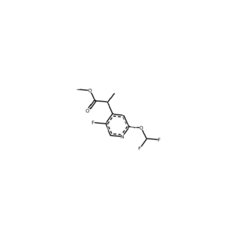 COC(=O)C(C)c1cc(OC(F)F)ncc1F